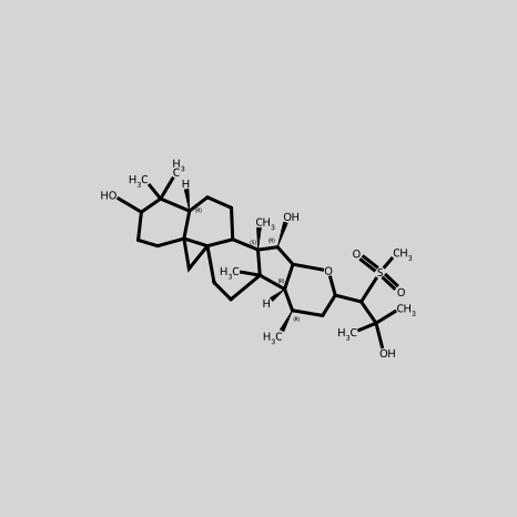 C[C@@H]1CC(C(C(C)(C)O)S(C)(=O)=O)OC2[C@H]1C1(C)CCC34CC35CCC(O)C(C)(C)[C@@H]5CCC4[C@]1(C)[C@H]2O